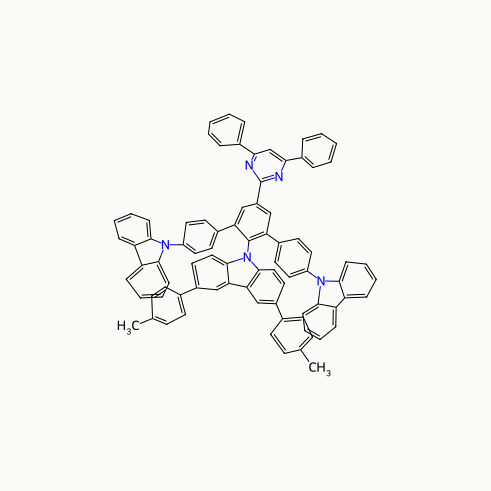 Cc1ccc(-c2ccc3c(c2)c2cc(-c4ccc(C)cc4)ccc2n3-c2c(-c3ccc(-n4c5ccccc5c5ccccc54)cc3)cc(-c3nc(-c4ccccc4)cc(-c4ccccc4)n3)cc2-c2ccc(-n3c4ccccc4c4ccccc43)cc2)cc1